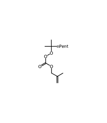 C=C(C)COC(=O)OOC(C)(C)CCCCC